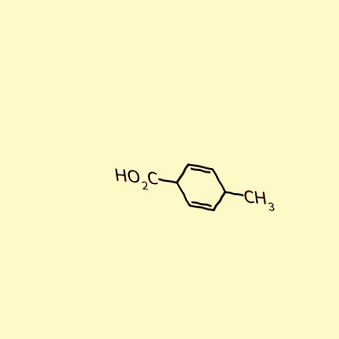 CC1C=CC(C(=O)O)C=C1